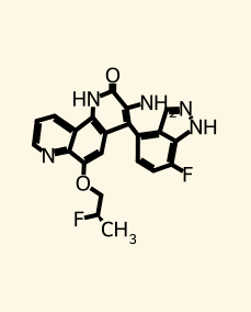 C[C@@H](F)COc1cc2c(-c3ccc(F)c4[nH]ncc34)c(N)c(=O)[nH]c2c2cccnc12